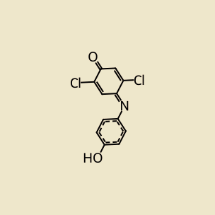 O=C1C=C(Cl)C(=Nc2ccc(O)cc2)C=C1Cl